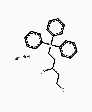 Br.CCCC(N)CC[P+](c1ccccc1)(c1ccccc1)c1ccccc1.[Br-]